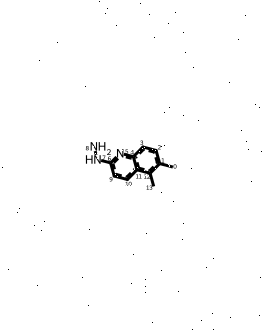 Cc1ccc2nc(NN)ccc2c1C